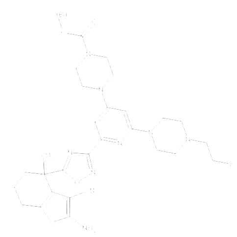 CC(C)(C)OC(=O)N1CCN(c2cc(-c3noc(C4(C)CCCc5sc(N)c(C#N)c54)n3)nc(N3CCN(CCF)CC3)c2)CC1